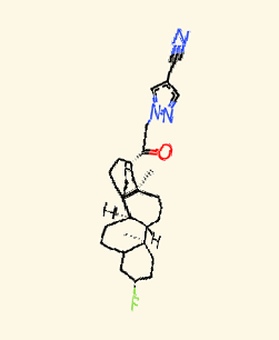 C[C@]12CC[C@H]3[C@@H](CCC4C[C@H](F)CC[C@@]43C)[C@@H]1CC[C@@H]2C(=O)Cn1cc(C#N)cn1